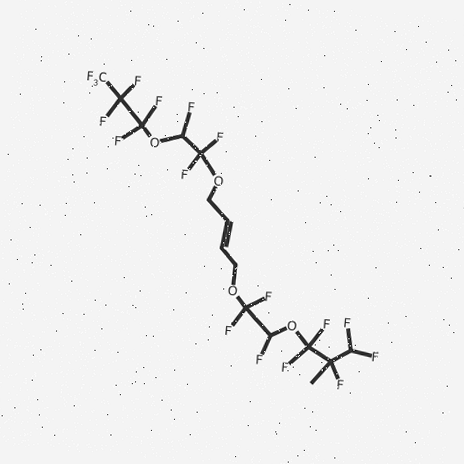 CC(F)(C(F)F)C(F)(F)OC(F)C(F)(F)OC/C=C/COC(F)(F)C(F)OC(F)(F)C(F)(F)C(F)(F)F